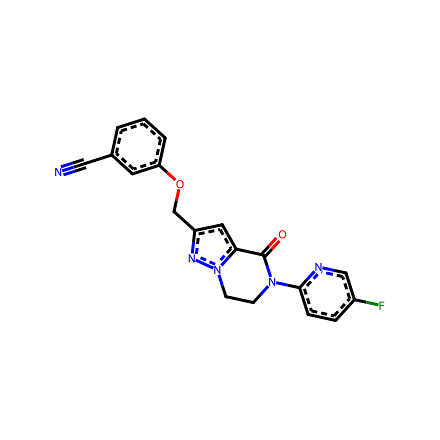 N#Cc1cccc(OCc2cc3n(n2)CCN(c2ccc(F)cn2)C3=O)c1